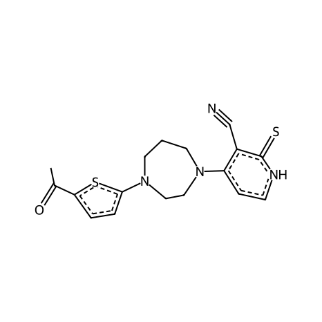 CC(=O)c1ccc(N2CCCN(c3cc[nH]c(=S)c3C#N)CC2)s1